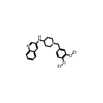 CCOc1ccc(CN2CCC(Nc3cnc4ccccc4c3)CC2)cc1OCC